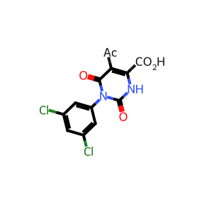 CC(=O)c1c(C(=O)O)[nH]c(=O)n(-c2cc(Cl)cc(Cl)c2)c1=O